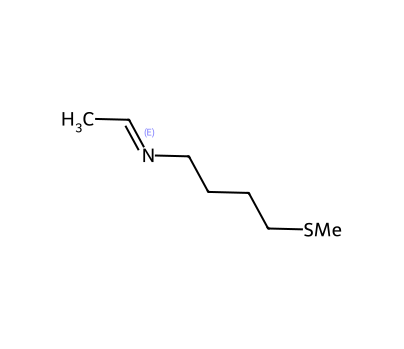 C/C=N/CCCCSC